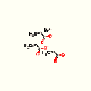 C=CC(=O)[O-].C=CC(=O)[O-].C=CC(=O)[O-].[Co+3]